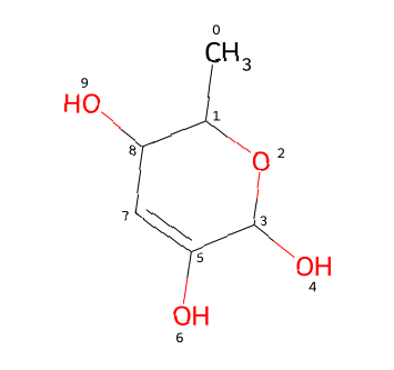 CC1OC(O)C(O)=CC1O